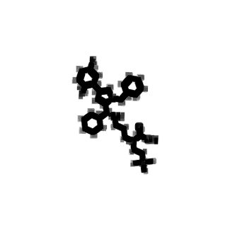 C[Si](C)(C)CCN(CCCN[C@@H](c1cc(-c2cc(F)ccc2F)cn1Cc1ccccc1)C1CCCCC1)C(=O)O